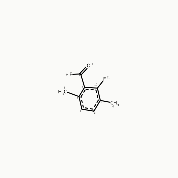 Cc1ccc(C)c(C(=O)F)c1F